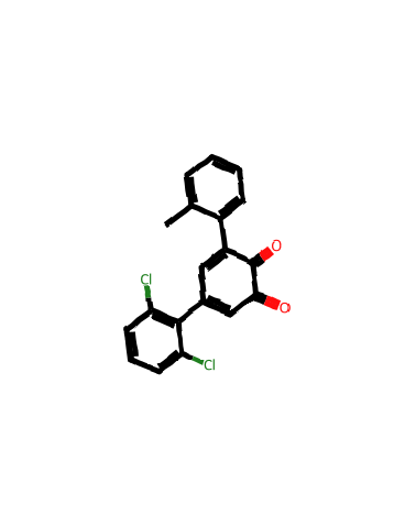 Cc1ccccc1C1=CC(c2c(Cl)cccc2Cl)=CC(=O)C1=O